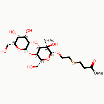 COC(=O)CCSCCO[C@@H]1O[C@H](CO)[C@@H](O[C@H]2C[C@@H](O)[C@@H](O)[C@@H](CO)O2)[C@H](O)[C@]1(O)NC(C)=O